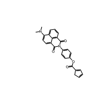 CN(C)c1ccc2c3c(cccc13)C(=O)N(c1ccc(OC(=O)C3=CC=CC3)cc1)C2=O